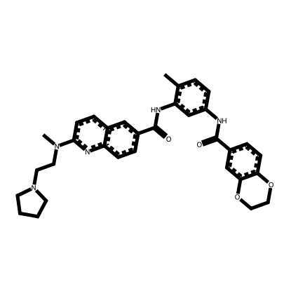 Cc1ccc(NC(=O)c2ccc3c(c2)OCCO3)cc1NC(=O)c1ccc2nc(N(C)CCN3CCCC3)ccc2c1